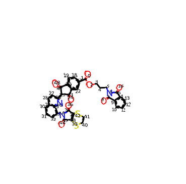 O=C(OCCCN1C(=O)c2ccccc2C1=O)c1ccc2c(c1)C(=O)C(c1ccc3cccc(N4C(=O)C5=C(SCCS5)C4=O)c3n1)C2=O